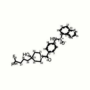 O=C(c1ccc(N[S+]([O-])c2cccc3scnc23)cc1)N1CCC(O)(CCCC(F)F)CC1